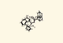 CC(CC(=O)N1C2CC3CC(C2)C(C(=O)O)C1C3)c1c[nH]c2cccc(-c3cccs3)c12